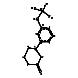 O=C1CCCN(c2cccc(OC(F)(F)F)c2)C1